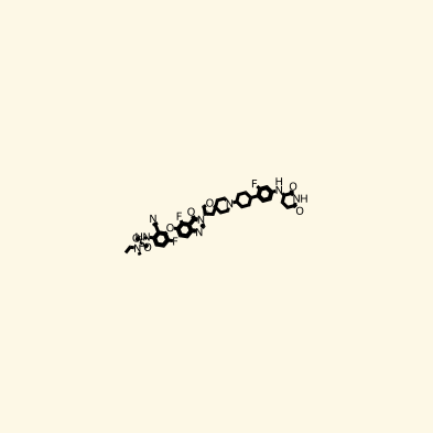 CCN(C)S(=O)(=O)Nc1ccc(F)c(Oc2ccc3ncn([C@@H]4COC5(CCN(C6CCC(c7ccc(NC8CCC(=O)NC8=O)cc7F)CC6)CC5)C4)c(=O)c3c2F)c1C#N